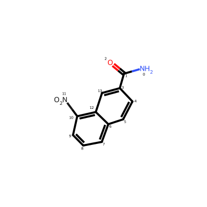 NC(=O)c1ccc2cccc([N+](=O)[O-])c2c1